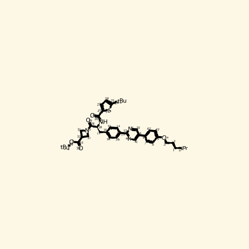 CC(C)CCCOc1ccc(-c2cnc(-c3ccc(C[C@H](NC(=O)c4ccc(C(C)(C)C)s4)C(=O)N4CC(C(=O)OC(C)(C)C)C4)cc3)nc2)cc1